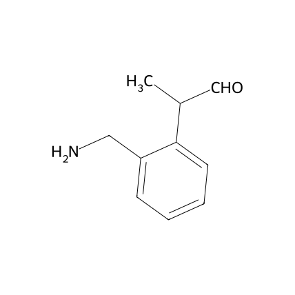 CC(C=O)c1ccccc1CN